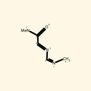 C/N=C\N=C\C(=O)NC